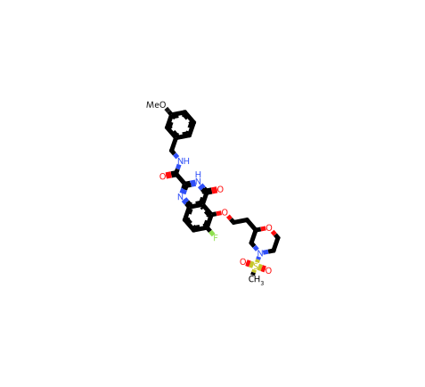 COc1cccc(CNC(=O)c2nc3ccc(F)c(OCCC4CN(S(C)(=O)=O)CCO4)c3c(=O)[nH]2)c1